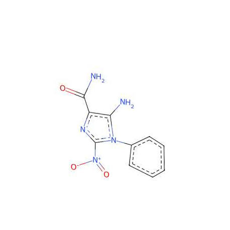 NC(=O)c1nc([N+](=O)[O-])n(-c2ccccc2)c1N